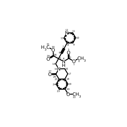 COC(=O)NC(C#Cc1cccnc1)(CN1CCc2cc(OC)ccc2C1=O)C(=O)OC